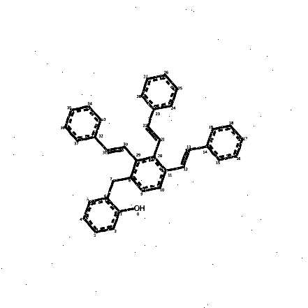 Oc1ccccc1Cc1ccc(/C=C/c2ccccc2)c(/C=C/c2ccccc2)c1/C=C/c1ccccc1